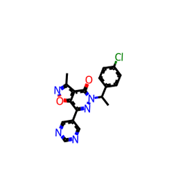 Cc1noc2c(-c3cncnc3)nn(C(C)c3ccc(Cl)cc3)c(=O)c12